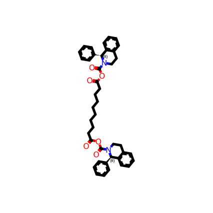 O=C(CCCCCCCCC(=O)OC(=O)N1CCc2ccccc2[C@H]1c1ccccc1)OC(=O)N1CCc2ccccc2[C@H]1c1ccccc1